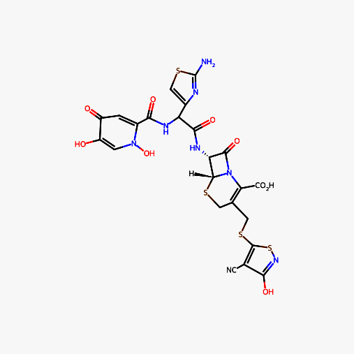 N#Cc1c(O)nsc1SCC1=C(C(=O)O)N2C(=O)[C@@H](NC(=O)C(NC(=O)c3cc(=O)c(O)cn3O)c3csc(N)n3)[C@H]2SC1